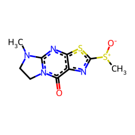 CN1CCn2c1nc1sc([S+](C)[O-])nc1c2=O